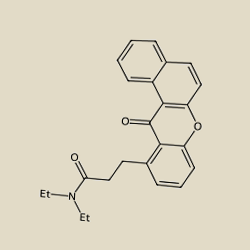 CCN(CC)C(=O)CCc1cccc2oc3ccc4ccccc4c3c(=O)c12